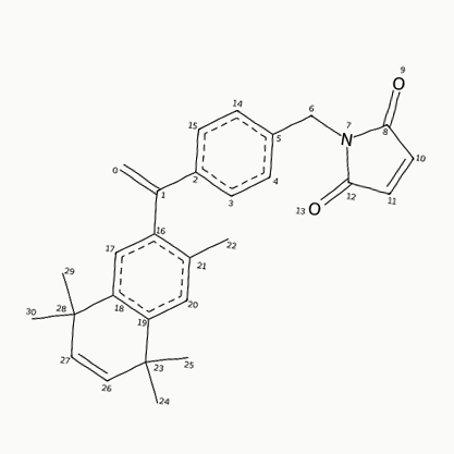 C=C(c1ccc(CN2C(=O)C=CC2=O)cc1)c1cc2c(cc1C)C(C)(C)C=CC2(C)C